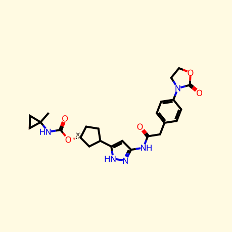 CC1(NC(=O)O[C@@H]2CCC(c3cc(NC(=O)Cc4ccc(N5CCOC5=O)cc4)n[nH]3)C2)CC1